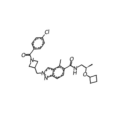 Cc1c(C(=O)NC[C@@H](C)OC2CCC2)ccc2nn(CC3CN(C(=O)c4ccc(Cl)cc4)C3)cc12